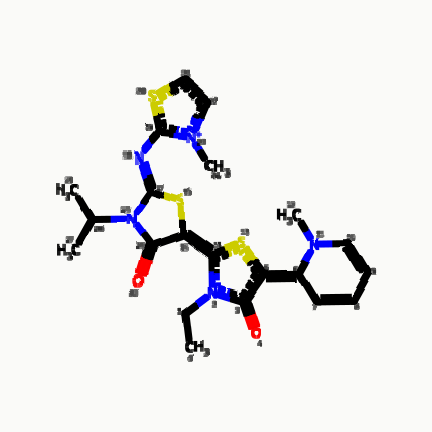 CCn1c(=O)/c(=C2\C=CC=CN2C)s/c1=C1\S/C(=N\c2scc[n+]2C)N(C(C)C)C1=O